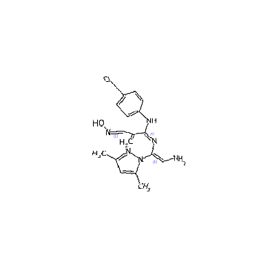 C=C(/C=N/O)/C(=N\C(=C/N)n1nc(C)cc1C)Nc1ccc(Cl)cc1